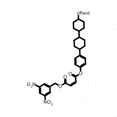 CCCCCC1CCC(C2CCC(c3ccc(OC(=O)/C=C\C(=O)OCc4cc([N+](=O)[O-])cc([N+](=O)[O-])c4)cc3)CC2)CC1